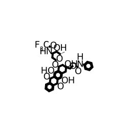 C[C@@H]1O[C@@H](O[C@H]2C[C@](O)(COC(=O)Nc3ccccc3)Cc3c(O)c4c(c(O)c32)C(=O)c2ccccc2C4=O)C[C@H](NC(=O)C(F)(F)F)[C@@H]1O